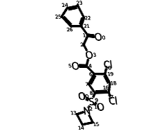 O=C(COC(=O)c1cc(S(=O)(=O)N2CCC2)c(Cl)cc1Cl)c1ccccc1